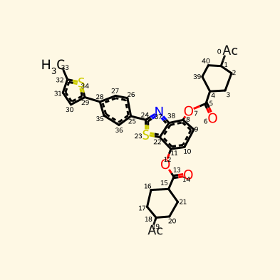 CC(=O)C1CCC(C(=O)Oc2ccc(OC(=O)C3CCC(C(C)=O)CC3)c3sc(-c4ccc(-c5ccc(C)s5)cc4)nc23)CC1